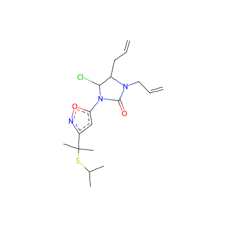 C=CCC1C(Cl)N(c2cc(C(C)(C)SC(C)C)no2)C(=O)N1CC=C